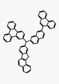 c1ccc2c3c(ccc2c1)-c1ccc(C(c2ccc4ccc(-c5cc6ccccc6c6ccccc56)cc4c2)c2ccc4c5ccccc5c5ccccc5c4c2)cc1C3